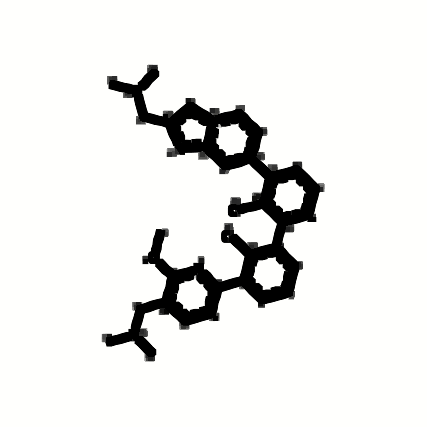 COc1nc(-c2cccc(-c3cccc(-c4ccn5cc(CN(C)C)nc5c4)c3Cl)c2Cl)ccc1CN(C)C